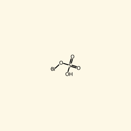 O=S(=O)(O)[O][Bi]